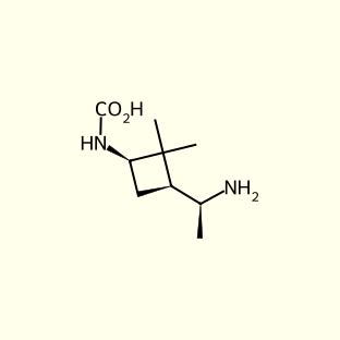 C[C@H](N)[C@H]1C[C@@H](NC(=O)O)C1(C)C